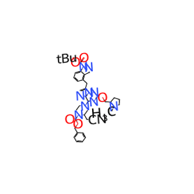 CN1CCCC1COc1nc(N2CCN(C(=O)OCc3ccccc3)C(CC#N)C2)c2ncc(Cc3cccc4c3cnn4C(=O)OC(C)(C)C)n2n1